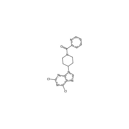 O=C(c1ccccn1)N1CCC(n2cnc3c(Cl)nc(Cl)nc32)CC1